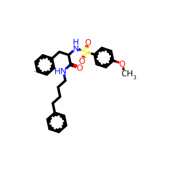 COc1ccc(S(=O)(=O)NC(Cc2cc[c]cc2)C(=O)NCCCCc2ccccc2)cc1